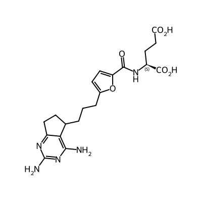 Nc1nc(N)c2c(n1)CCC2CCCc1ccc(C(=O)N[C@@H](CCC(=O)O)C(=O)O)o1